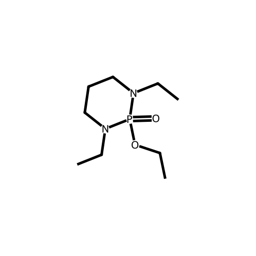 CCOP1(=O)N(CC)CCCN1CC